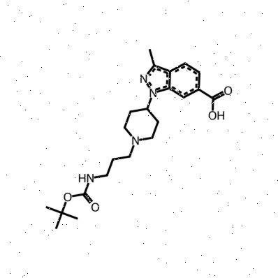 Cc1nn(C2CCN(CCCNC(=O)OC(C)(C)C)CC2)c2cc(C(=O)O)ccc12